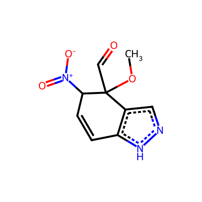 COC1(C=O)c2cn[nH]c2C=CC1[N+](=O)[O-]